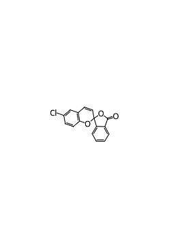 O=C1OC2(C=Cc3cc(Cl)ccc3O2)c2ccccc21